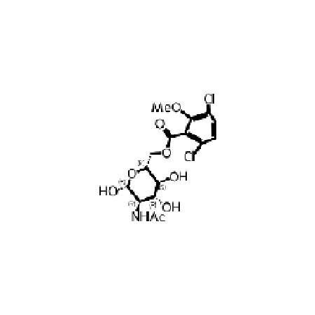 COc1c(Cl)ccc(Cl)c1C(=O)OC[C@H]1O[C@@H](O)[C@H](NC(C)=O)[C@@H](O)[C@@H]1O